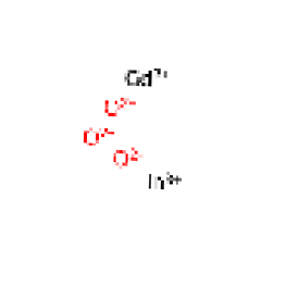 [Gd+3].[In+3].[O-2].[O-2].[O-2]